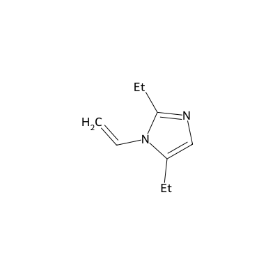 C=Cn1c(CC)cnc1CC